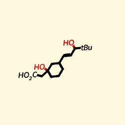 CC(C)(C)C(O)/C=C/C1CCCC(O)(CC(=O)O)C1